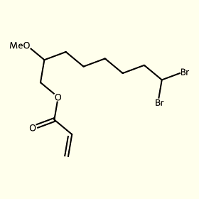 C=CC(=O)OCC(CCCCCC(Br)Br)OC